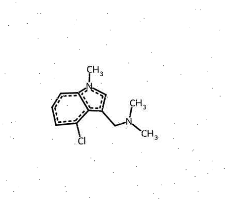 CN(C)Cc1cn(C)c2cccc(Cl)c12